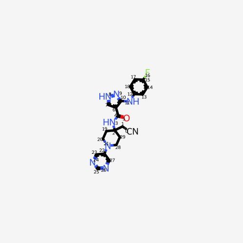 N#CCC1(NC(=O)c2c[nH]nc2Nc2ccc(F)cc2)CCN(c2cncnc2)CC1